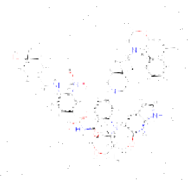 CC(C)c1ccccc1[C@@H]1COCCN1C1CC2(CCN(c3ccc(C(=O)NS(=O)(=O)c4ccc(NCC5CCC(C)(O)CC5)c([N+](=O)[O-])c4)c(N4c5cc6cc[nH]c6nc5OC[C@H]5COCC[C@@H]54)c3)CC2)C1